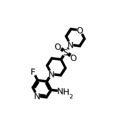 Nc1cncc(F)c1N1CCC(S(=O)(=O)N2CCOCC2)CC1